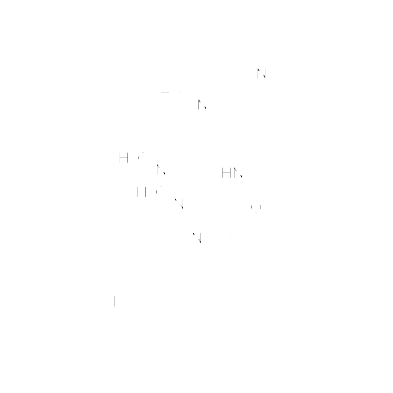 CN(C)CCCN(C)c1ccnc2ccc(CNC(=O)c3cncn(Cc4ccc(F)c(F)c4)c3=O)cc12